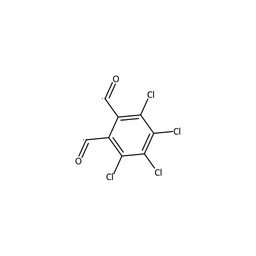 O=[C]c1c(Cl)c(Cl)c(Cl)c(Cl)c1[C]=O